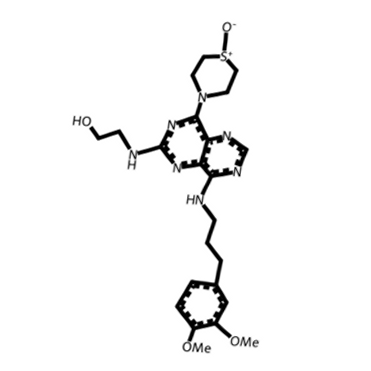 COc1ccc(CCCNc2ncnc3c(N4CC[S+]([O-])CC4)nc(NCCO)nc23)cc1OC